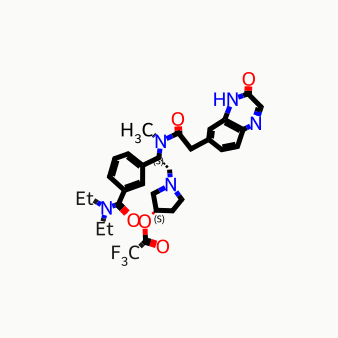 CCN(CC)C(=O)c1cccc([C@@H](CN2CC[C@H](OC(=O)C(F)(F)F)C2)N(C)C(=O)Cc2ccc3ncc(=O)[nH]c3c2)c1